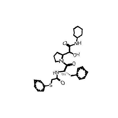 O=C(CSc1ccccc1)N[C@@H](Cc1ccccc1)C(=O)N1CCCC1C(O)C(=O)NC1CCCCC1